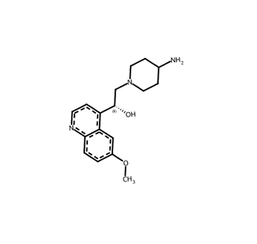 COc1ccc2nccc([C@@H](O)CN3CCC(N)CC3)c2c1